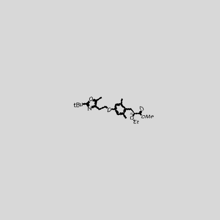 CCO[C@@H](Cc1c(C)cc(OCCc2nc(C(C)(C)C)oc2C)cc1C)C(=O)OC